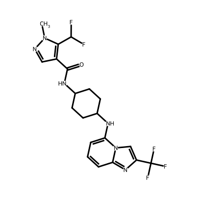 Cn1ncc(C(=O)NC2CCC(Nc3cccc4nc(C(F)(F)F)cn34)CC2)c1C(F)F